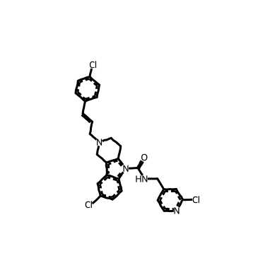 O=C(NCc1ccnc(Cl)c1)n1c2c(c3cc(Cl)ccc31)CN(CC=Cc1ccc(Cl)cc1)CC2